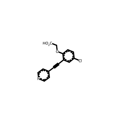 O=C(O)COc1ccc(Cl)cc1C#Cc1ccncc1